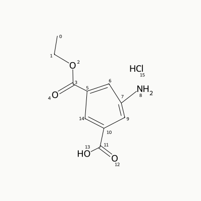 CCOC(=O)c1cc(N)cc(C(=O)O)c1.Cl